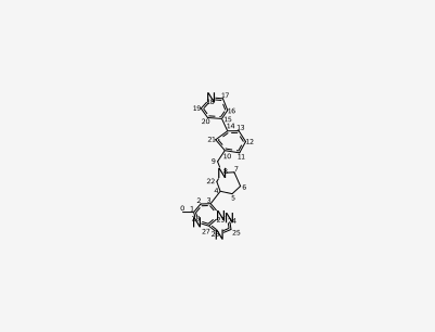 Cc1cc(C2CCCN(Cc3cccc(-c4ccncc4)c3)C2)n2ncnc2n1